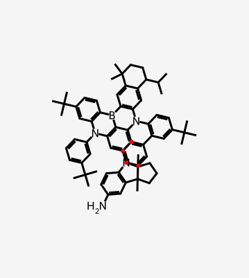 CC(C)C1CCC(C)(C)c2cc3c(cc21)N(c1ccc(C(C)(C)C)cc1-c1ccccc1)c1cc(N2c4ccc(N)cc4C4(C)CCCC24C)cc2c1B3c1ccc(C(C)(C)C)cc1N2c1cccc(C(C)(C)C)c1